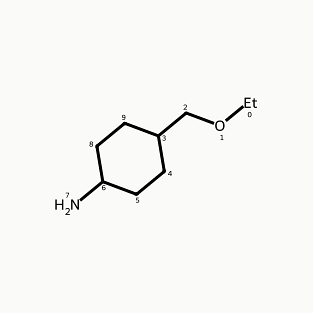 CCOCC1CCC(N)CC1